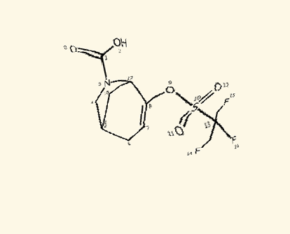 O=C(O)N1CC2CC=C(OS(=O)(=O)C(F)(F)F)C1C2